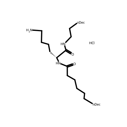 CCCCCCCCCCCCCCCC(=O)N[C@H](CCCCN)C(=O)NCCCCCCCCCCCC.Cl